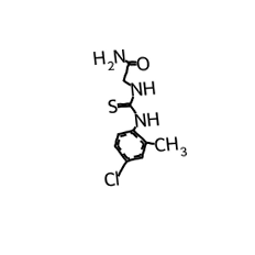 Cc1cc(Cl)ccc1NC(=S)NCC(N)=O